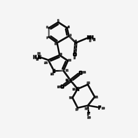 NC(=O)c1ccccc1-c1cc(S(=O)(=O)N2CCC(F)(F)CC2)sc1N